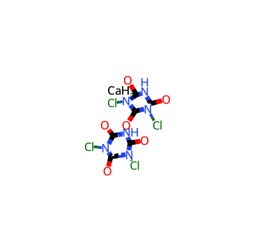 O=c1[nH]c(=O)n(Cl)c(=O)n1Cl.O=c1[nH]c(=O)n(Cl)c(=O)n1Cl.[CaH2]